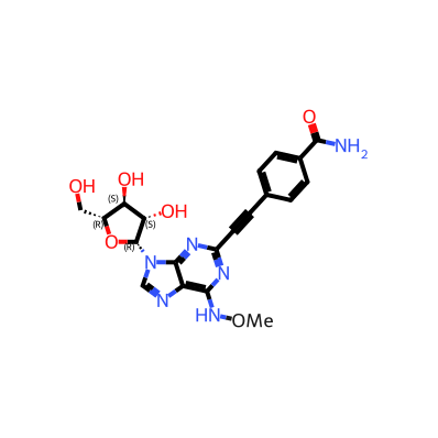 CONc1nc(C#Cc2ccc(C(N)=O)cc2)nc2c1ncn2[C@@H]1O[C@H](CO)[C@@H](O)[C@@H]1O